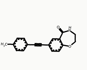 Cc1ccc(C#Cc2ccc3c(c2)C(=O)NCCO3)cc1